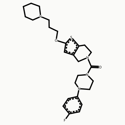 O=C(N1CCN(c2ccc(F)cc2)CC1)N1CCc2sc(OCCCN3CCCCC3)cc2C1